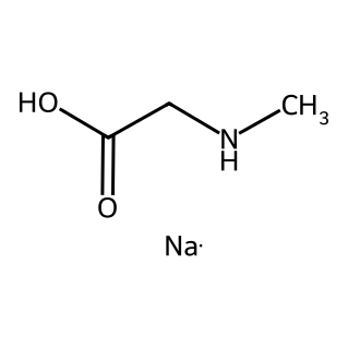 CNCC(=O)O.[Na]